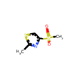 Cc1nc(S(C)(=O)=O)cs1